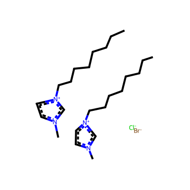 CCCCCCCC[n+]1ccn(C)c1.CCCCCCCC[n+]1ccn(C)c1.[Br-].[Cl-]